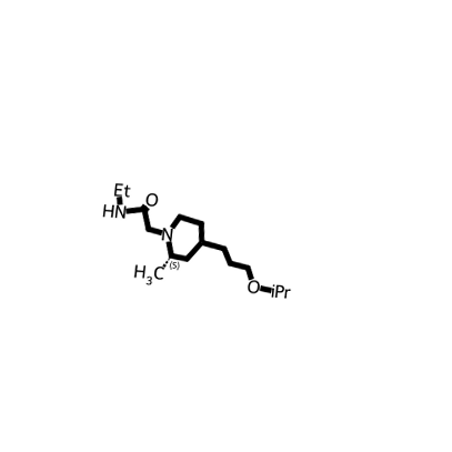 CCNC(=O)CN1CCC(CCCOC(C)C)C[C@@H]1C